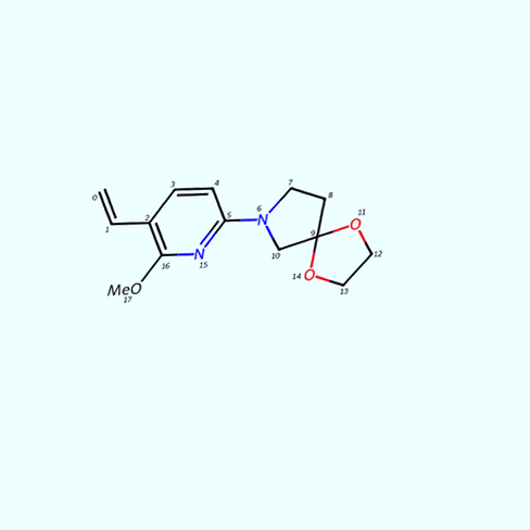 C=Cc1ccc(N2CCC3(C2)OCCO3)nc1OC